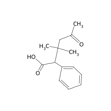 CC(=O)CC(C)(C)C(C(=O)O)c1ccccc1